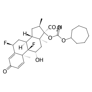 C[C@@H]1C[C@H]2[C@@H]3C[C@H](F)C4=CC(=O)C=C[C@]4(C)[C@@]3(F)[C@@H](O)C[C@]2(C)[C@@]1(OC(=O)OC1CCCCCC1)C(=O)O